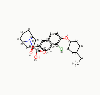 CCC1CCC(Oc2ccc3cc(C(=O)N4C5CCCC4CC(C(=O)O)C5)ccc3c2Cl)CC1